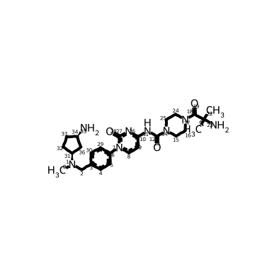 CN(Cc1ccc(-n2ccc(NC(=O)N3CCN(C(=O)C(C)(C)N)CC3)nc2=O)cc1)[C@H]1CC[C@@H](N)C1